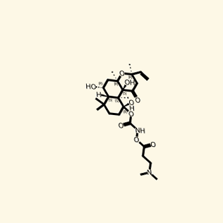 C=C[C@@]1(C)CC(=O)[C@]2(O)[C@]3(C)[C@@H]([C@H](O)C[C@@]2(C)O1)C(C)(C)CC[C@@]3(O)OC(=O)NOC(=O)CCN(C)C